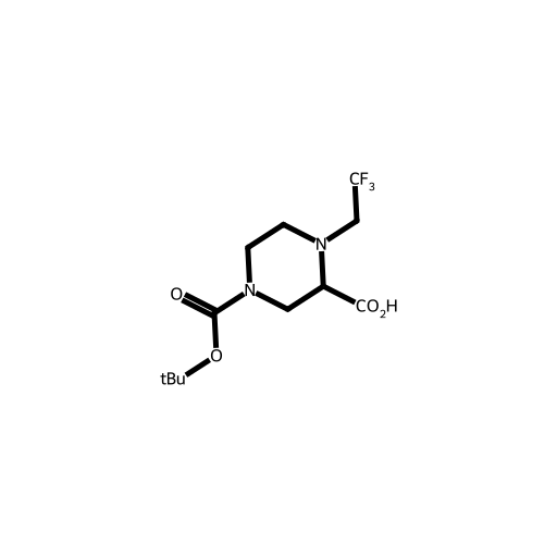 CC(C)(C)OC(=O)N1CCN(CC(F)(F)F)C(C(=O)O)C1